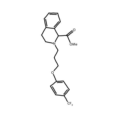 COC(=O)C1c2ccccc2CCN1CCCOc1ccc(C(F)(F)F)cc1